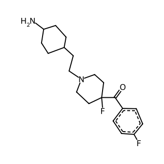 NC1CCC(CCN2CCC(F)(C(=O)c3ccc(F)cc3)CC2)CC1